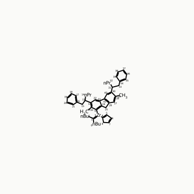 CCCC[C](CCCC)=[Zr]([C]1=CC=CC1)[c]1c(C)c(C(CCC)Cc2ccccc2)cc2c1Cc1cc(C)c(C(CCC)Cc3ccccc3)cc1-2